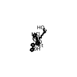 CCn1nc(-c2cccc(-c3ccccc3O)c2)cc(N(CCCCCCCN(C)CCO)C(=O)Nc2c(Cl)cncc2Cl)c1=O